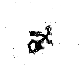 CC(OC(F)(F)F)(C(=O)O)c1ccccc1